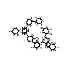 c1ccc(-c2cccc(-c3nc(-c4ccccc4)nc(-c4ccc5c(c4)oc4c(-c6nc(-c7ccccc7)nc7c6oc6ccccc67)cccc45)n3)c2)cc1